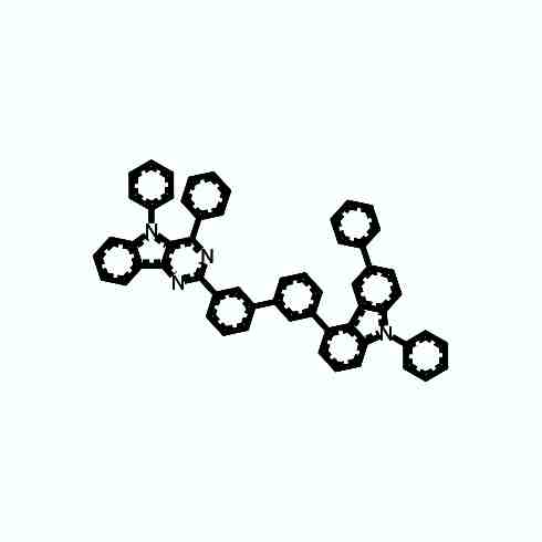 c1ccc(-c2ccc3c(c2)c2c(-c4cccc(-c5cccc(-c6nc(-c7ccccc7)c7c(n6)c6ccccc6n7-c6ccccc6)c5)c4)cccc2n3-c2ccccc2)cc1